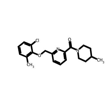 Cc1cccc(Cl)c1OCc1cccc(C(=O)N2CCC(C)CC2)n1